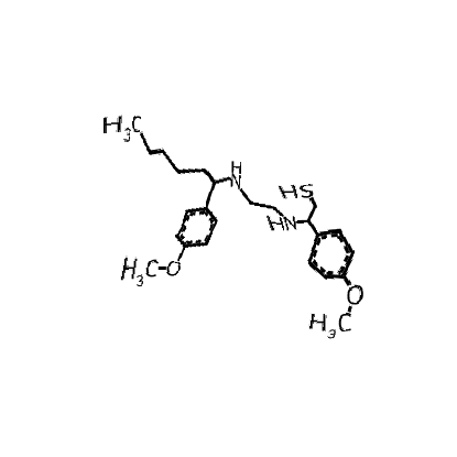 CCCCCC(NCCNC(CS)c1ccc(OC)cc1)c1ccc(OC)cc1